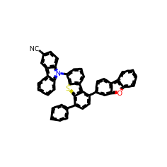 N#Cc1ccc2c(c1)c1ccccc1n2-c1cccc2c1sc1c(-c3ccccc3)ccc(-c3ccc4c(c3)oc3ccccc34)c12